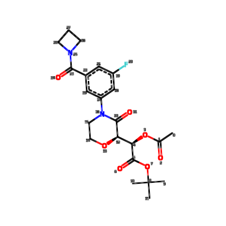 CC(=O)O[C@@H](C(=O)OC(C)(C)C)[C@H]1OCCN(c2cc(F)cc(C(=O)N3CCC3)c2)C1=O